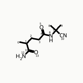 CC(C[CH]C(=O)NC(C)(C)C#N)C(N)=O